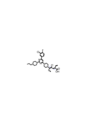 C=C/C(=C\C(Cl)=C(/N=C)N1CCN(c2cc(-c3ccc(F)c(Cl)c3)nc(N3CCN(CCC)CC3)n2)CC1)C(=O)O